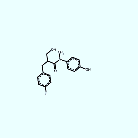 CN(C(=O)C(CO)Cc1ccc(F)cc1)c1ccc(O)cc1